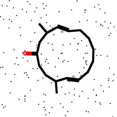 CC1/C=C/CCCCC/C=C/C(C)CC(=O)CC1